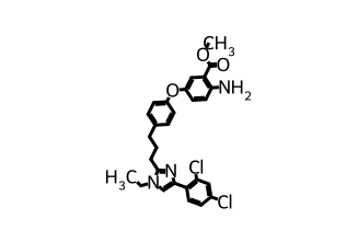 CCn1cc(-c2ccc(Cl)cc2Cl)nc1CCCc1ccc(Oc2ccc(N)c(C(=O)OC)c2)cc1